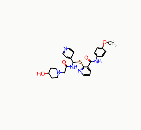 O=C(CN1CCC(O)CC1)NC(Sc1ncccc1C(=O)Nc1ccc(OC(F)(F)F)cc1)c1ccncc1